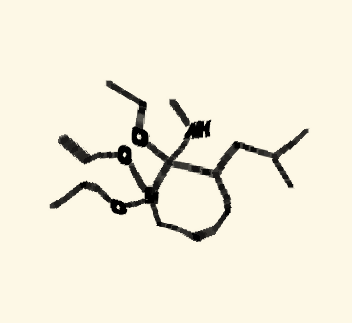 CCO[C]1([AlH][CH3])C(CC(C)C)CCC[Si]1(OCC)OCC